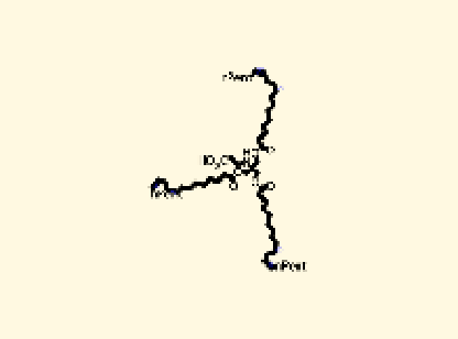 CCCCC/C=C\C/C=C\CCCCCCCC(=O)OCC(COC(=O)CCCCCCC/C=C\C/C=C\CCCCC)(COC(=O)CCCCCCC/C=C\C/C=C\CCCCC)NCCC(=O)O